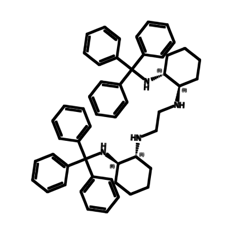 c1ccc(C(N[C@@H]2CCCC[C@H]2NCCN[C@@H]2CCCC[C@H]2NC(c2ccccc2)(c2ccccc2)c2ccccc2)(c2ccccc2)c2ccccc2)cc1